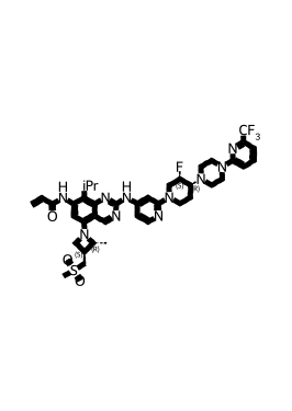 C=CC(=O)Nc1cc(N2C[C@H](CS(C)(=O)=O)[C@H]2C)c2cnc(Nc3ccnc(N4CC[C@@H](N5CCN(c6cccc(C(F)(F)F)n6)CC5)[C@@H](F)C4)c3)nc2c1C(C)C